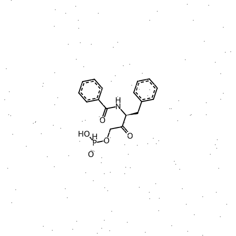 O=C(N[C@@H](Cc1ccccc1)C(=O)CO[PH](=O)O)c1ccccc1